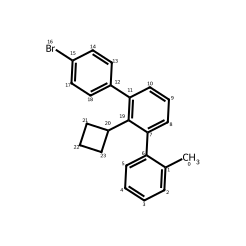 Cc1ccccc1-c1cccc(-c2ccc(Br)cc2)c1C1CCC1